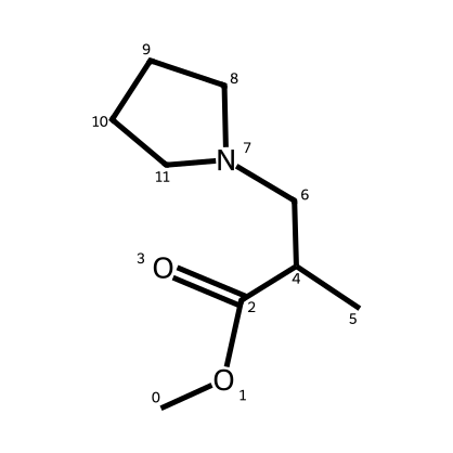 COC(=O)C(C)CN1CCCC1